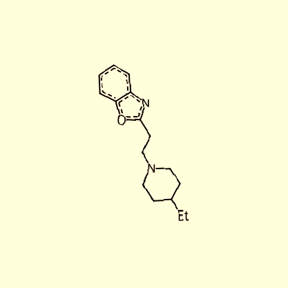 CCC1CCN(CCc2nc3ccccc3o2)CC1